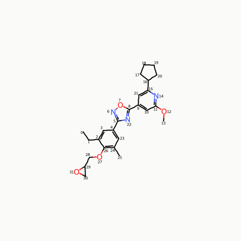 CCc1cc(-c2noc(-c3cc(OC)nc(C4CCCC4)c3)n2)cc(C)c1OCC1CO1